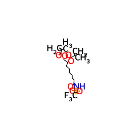 C=C(C)C(=O)OCC(CCCCCCC(=O)NS(=O)(=O)C(F)(F)F)OC(=O)C(=C)C